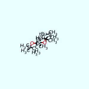 CCC(C)(O[Si](C)(C)C)[Si](C)(C)OC(C)(C)[Si](C)(C)C(C)(C)C